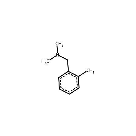 Cc1ccccc1CN(C)C